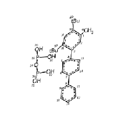 Cc1cc(-c2ccc(-c3ccccc3)cc2)c(C(C)(C)C)cc1C(C)(C)C.OP(O)OP(O)O